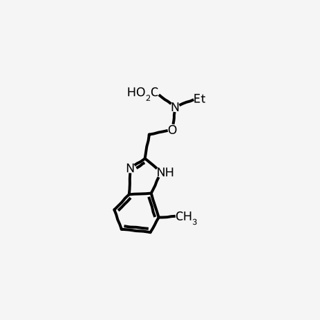 CCN(OCc1nc2cccc(C)c2[nH]1)C(=O)O